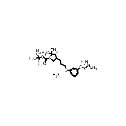 CN(N)SOc1cccc(OCCCC2CN(C(=O)OC(C)(C)C)C(C)(C)C2)c1.S